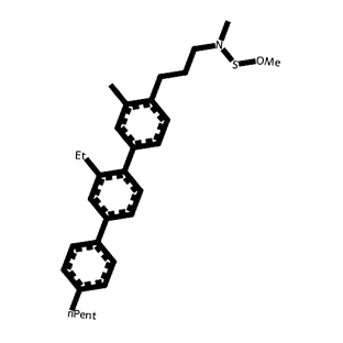 CCCCCc1ccc(-c2ccc(-c3ccc(CCCN(C)SOC)c(C)c3)c(CC)c2)cc1